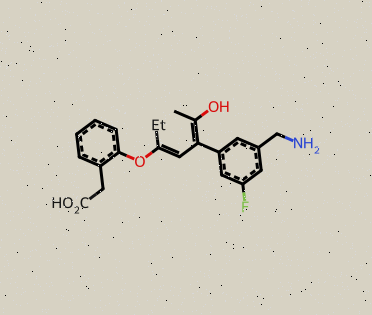 CC/C(=C\C(=C(/C)O)c1cc(F)cc(CN)c1)Oc1ccccc1CC(=O)O